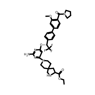 CCOC(=O)C1CC2(CCN(c3cc(O[C@H](c4ccc(-c5ccc(C(=O)N6CCCC6)c(OC)c5)cc4)C(F)(F)F)nc(N)n3)CC2)CN1